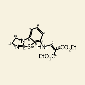 CCOC(=O)C(=CNc1cccc2c1SC1=NCCN12)C(=O)OCC